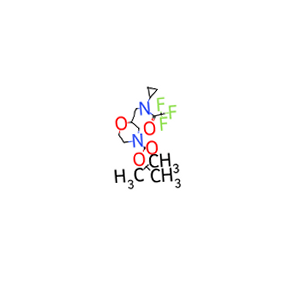 CC(C)(C)OC(=O)N1CCOC(CN(C(=O)C(F)(F)F)C2CC2)C1